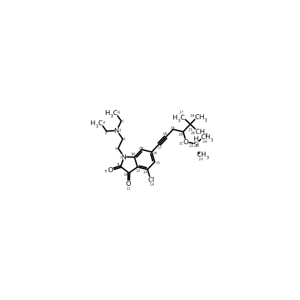 CCN(CC)CCN1C(=O)C(=O)c2c(Cl)cc(C#CCC(O[SiH](C)C)C(C)(C)C)cc21